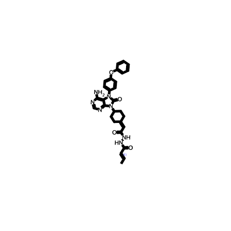 C/C=C/C(=O)NNC(=O)C=C1CCC(n2c(=O)n(-c3ccc(Oc4ccccc4)cc3)c3c(N)ncnc32)CC1